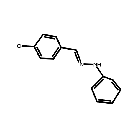 Clc1ccc(C=NNc2ccccc2)cc1